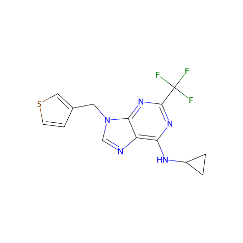 FC(F)(F)c1nc(NC2CC2)c2ncn(Cc3ccsc3)c2n1